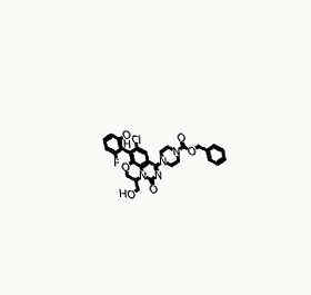 O=C(OCc1ccccc1)N1CCN(c2nc(=O)n3c4c(c(-c5c(O)cccc5F)c(Cl)cc24)OCC3CO)CC1